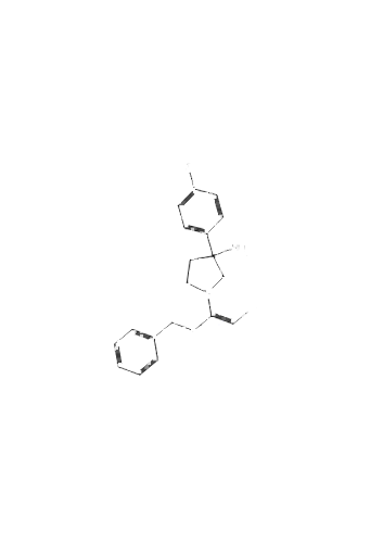 CC/C=C(/CCc1ccccc1)N1CCC(N)(c2ccc(F)cc2)C1